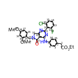 CCOC(=O)Cc1ccc(Nc2nc(-c3c(F)cccc3Cl)nc3c2C(=O)N(Cc2ccc(OC)cc2OC)C3)cc1